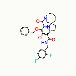 O=C(NCc1ccc(F)cc1F)c1c2n3c(c(OCc4ccccc4)c1=O)C(=O)N1CCCC[C@]3(CC2)C1